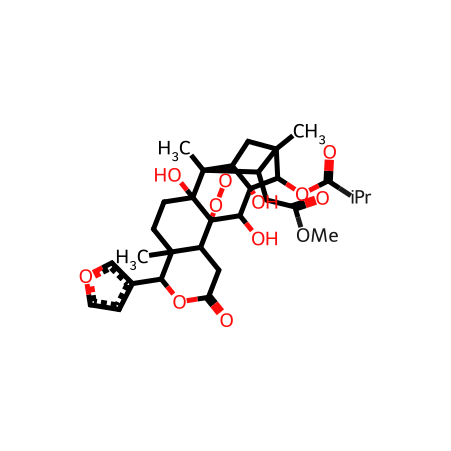 COC(=O)CC1C2(C)CC34OOC5(C6CC(=O)OC(c7ccoc7)C6(C)CCC5(O)C13C)C(O)C4(O)C2OC(=O)C(C)C